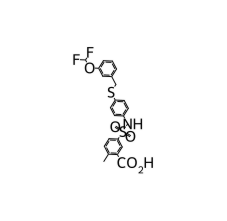 Cc1ccc(S(=O)(=O)Nc2ccc(SCc3cccc(OC(F)F)c3)cc2)cc1C(=O)O